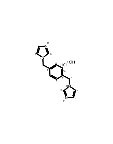 Cl.Cl.c1cn(Cc2ccc(Cn3ccnc3)cc2)cn1